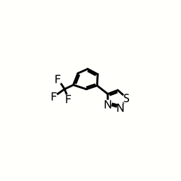 FC(F)(F)c1cccc(-c2csnn2)c1